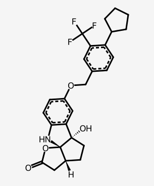 O=C1C[C@H]2CC[C@]3(O)c4cc(OCc5ccc(C6CCCC6)c(C(F)(F)F)c5)ccc4N[C@]23O1